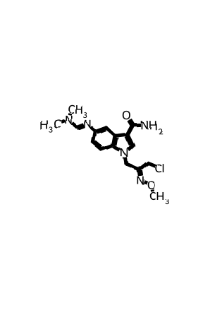 CO/N=C(\CCl)Cn1cc(C(N)=O)c2cc(/N=C/N(C)C)ccc21